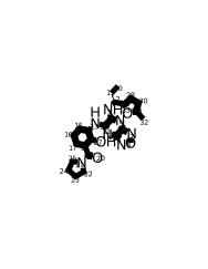 CC[C@@H](Nc1nc2nonc2nc1Nc1cccc(C(=O)N2CCCC2)c1O)c1ccc(C)o1